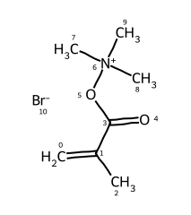 C=C(C)C(=O)O[N+](C)(C)C.[Br-]